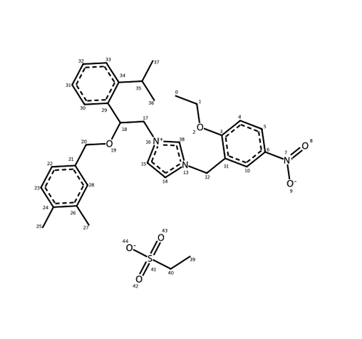 CCOc1ccc([N+](=O)[O-])cc1Cn1cc[n+](CC(OCc2ccc(C)c(C)c2)c2ccccc2C(C)C)c1.CCS(=O)(=O)[O-]